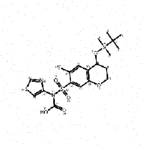 CC(C)(C)[Si](C)(C)OC1CCOc2cc(S(=O)(=O)N(C(=O)O)c3cscn3)c(F)cc21